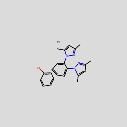 Cc1cc(C)n(-c2ccccc2-n2nc(C)cc2C)n1.Oc1ccccc1.[Pt]